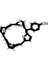 COc1ccc(C2=C3C=CC(=N3)C=c3ccc([nH]3)=CC3=NC(=CC4NC2=CS4)C=C3)cc1